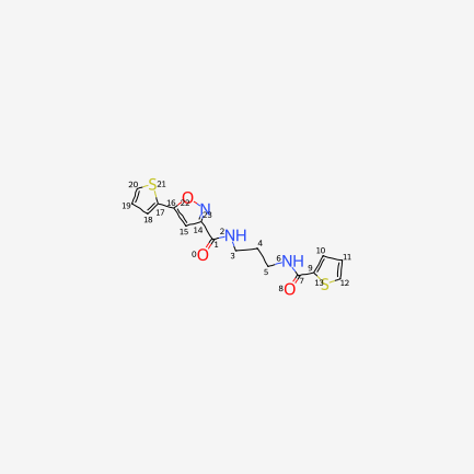 O=C(NCCCNC(=O)c1cccs1)c1cc(-c2cccs2)on1